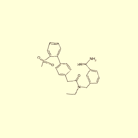 CCN(Cc1cccc(C(=N)N)c1)C(=O)Cc1ccc(-c2ccccc2S(C)(=O)=O)cc1